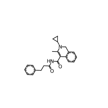 CC1=C(C(=O)NC(=O)CCc2ccccc2)c2ccccc2CN1C1CC1